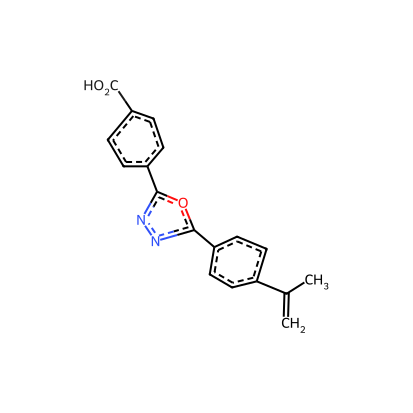 C=C(C)c1ccc(-c2nnc(-c3ccc(C(=O)O)cc3)o2)cc1